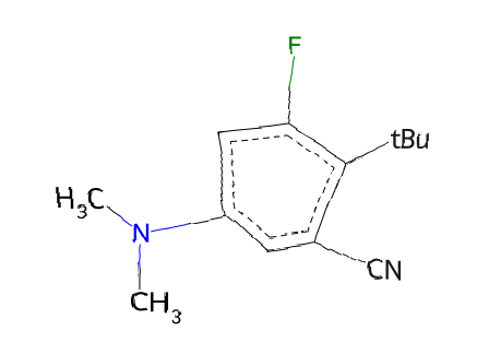 CN(C)c1cc(F)c(C(C)(C)C)c(C#N)c1